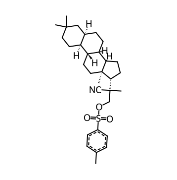 Cc1ccc(S(=O)(=O)OCC(C)(C#N)[C@H]2CC[C@H]3[C@@H]4CC[C@@H]5CC(C)(C)CC[C@@H]5[C@H]4CC[C@]23C)cc1